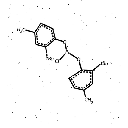 Cc1ccc(OP(Cl)Oc2ccc(C)cc2C(C)(C)C)c(C(C)(C)C)c1